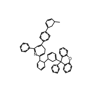 CC1C=CC=C(c2ccc(C3=CC(c4ccccc4)=NC(C4C=CC=CC4C4C=CC=C(C5(c6ccccc6)c6ccccc6Oc6ccccc65)C4)=CC3)cc2)C1